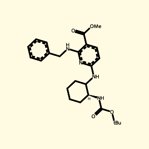 COC(=O)c1ccc(NC2CCCC[C@@H]2NC(=O)OC(C)(C)C)nc1NCc1ccccc1